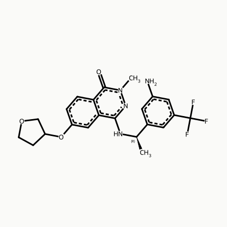 C[C@@H](Nc1nn(C)c(=O)c2ccc(OC3CCOC3)cc12)c1cc(N)cc(C(F)(F)F)c1